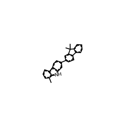 Cc1cccc2c1[nH]c1cc(-c3ccc4c(c3)C(C)(C)c3ccccc3-4)ccc12